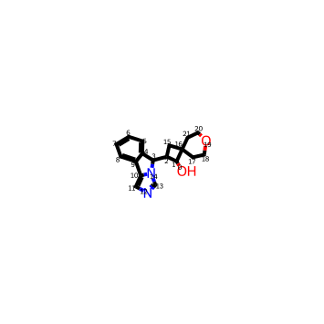 OC1C(C2c3ccccc3-c3cncn32)CC12CCOCC2